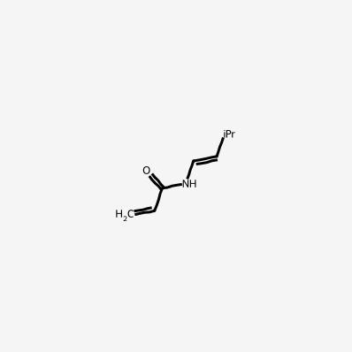 C=CC(=O)N/C=C/C(C)C